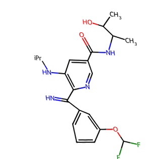 CC(C)Nc1cc(C(=O)NC(C)C(C)O)cnc1C(=N)c1cccc(OC(F)F)c1